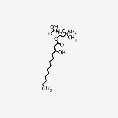 CCCCCCCCCCC(O)CC(=O)O[C@@H](CC(=O)O)C[N+](C)(C)C